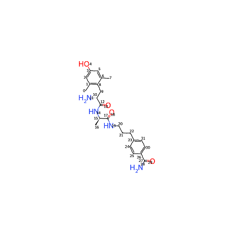 Cc1cc(O)cc(C)c1C[C@@H](N)C(=O)N[C@H](C)C(=O)NCCCc1ccc(C(N)=O)cc1